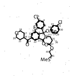 CO[C@]1(c2ccc(Cl)cc2)c2c(F)cc(C(=O)C3CCOCC3)cc2C(=O)N1[C@H](c1ccc(Cl)cc1)[C@H](C)C(=O)OCCSC